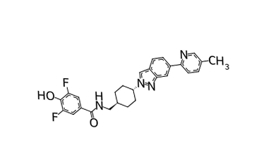 Cc1ccc(-c2ccc3cn([C@H]4CC[C@H](CNC(=O)c5cc(F)c(O)c(F)c5)CC4)nc3c2)nc1